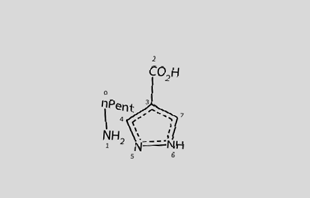 CCCCCN.O=C(O)c1cn[nH]c1